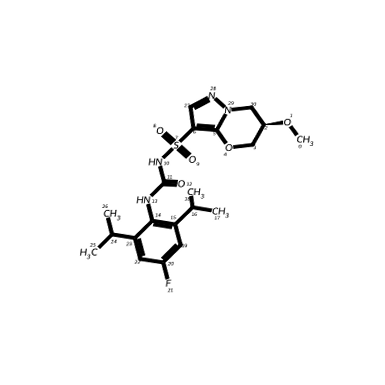 CO[C@H]1COc2c(S(=O)(=O)NC(=O)Nc3c(C(C)C)cc(F)cc3C(C)C)cnn2C1